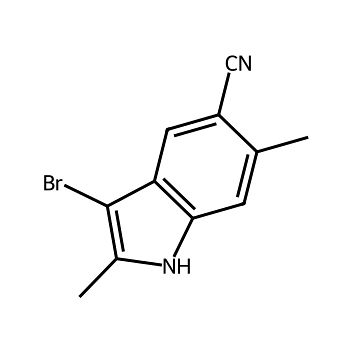 Cc1cc2[nH]c(C)c(Br)c2cc1C#N